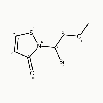 COCC(Br)n1sccc1=O